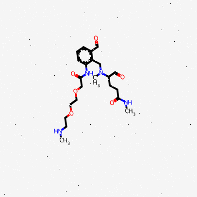 CNCCOCCOCC(=O)Nc1cccc(C=O)c1CN(C)C(C=O)CCC(=O)NC